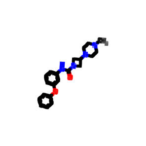 CN1CCN(C2CN(C(=O)Nc3cccc(Oc4ccccc4)c3)C2)CC1